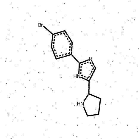 Brc1ccc(-c2ncc(C3CCCN3)[nH]2)cc1